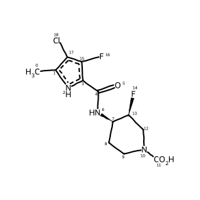 Cc1[nH]c(C(=O)N[C@@H]2CCN(C(=O)O)C[C@@H]2F)c(F)c1Cl